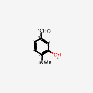 CNc1ccc(C=O)cc1O